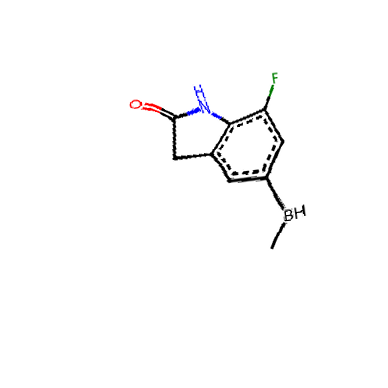 CBc1cc(F)c2c(c1)CC(=O)N2